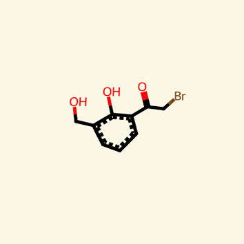 O=C(CBr)c1cccc(CO)c1O